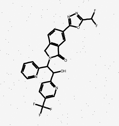 O=C1c2cc(-c3nnc(C(F)F)o3)ccc2CN1C(c1ccccn1)C(O)c1ccc(C(F)(F)F)cn1